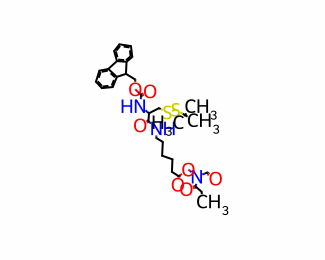 CCC(=O)N(C=O)OC(=O)CCCCCNC(=O)C(CSSC(C)(C)C)NC(=O)OCC1c2ccccc2-c2ccccc21